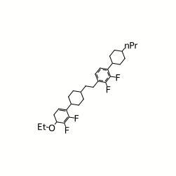 CCCC1CCC(c2ccc(CCC3CCC(C4=CCC(OCC)C(F)=C4F)CC3)c(F)c2F)CC1